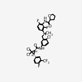 CN(Cc1cc(NC(=O)[C@H]2[C@H](c3ccc(F)c(C(F)(F)F)c3)C2(Cl)Cl)ccc1Cl)c1ccc(F)c(NC(=O)C2CCCO2)c1F